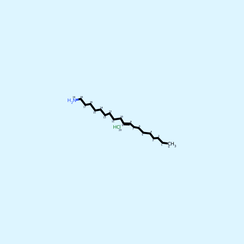 CCCCCCCCC=CCCCCCCCCCN.Cl